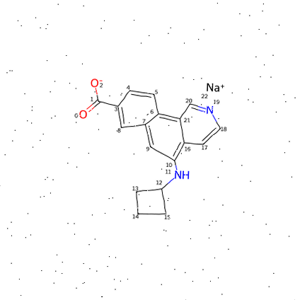 O=C([O-])c1ccc2c(c1)cc(NC1CCC1)c1ccncc12.[Na+]